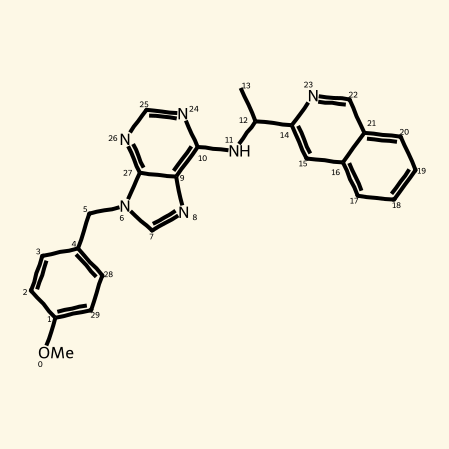 COc1ccc(Cn2cnc3c(NC(C)c4cc5ccccc5cn4)ncnc32)cc1